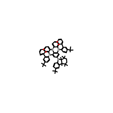 CC(C)(C)c1ccc(N2c3ccccc3B3c4ccccc4N(c4ccc(C(C)(C)C)cc4-c4ccccc4)c4cc(N5c6ccc(C(C)(C)C)cc6C6(C)C(C)(C)CCC(C)(C)C56C)cc2c43)c(-c2ccccc2)c1